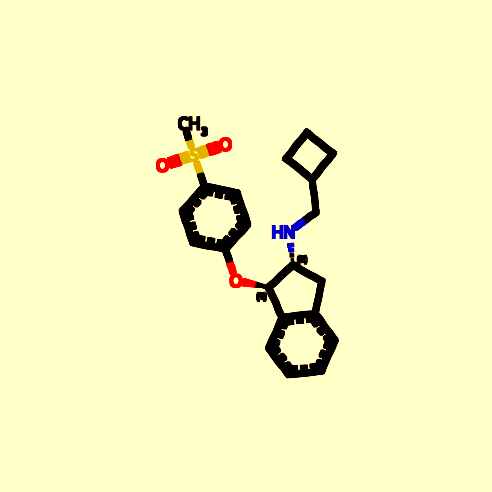 CS(=O)(=O)c1ccc(O[C@@H]2c3ccccc3C[C@H]2NCC2CCC2)cc1